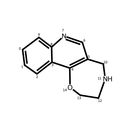 c1ccc2c3c(cnc2c1)CNCCO3